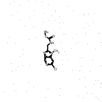 Cn1c(CNC(=O)OC(C)(C)C)nc2cnc(Cl)cc21